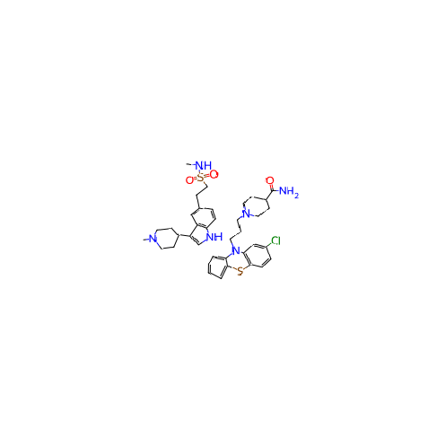 CNS(=O)(=O)CCc1ccc2[nH]cc(C3CCN(C)CC3)c2c1.NC(=O)C1CCN(CCCN2c3ccccc3Sc3ccc(Cl)cc32)CC1